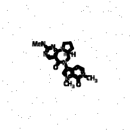 CNc1ncc2c(n1)N1CCC[C@H]1CN(c1cn(C)c3c(=O)n(C)ccc13)C2=O